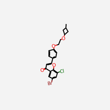 CC1CC(OCCOc2ccc(-c3cc(=O)c4cc(Br)cc(Cl)c4o3)cc2)C1